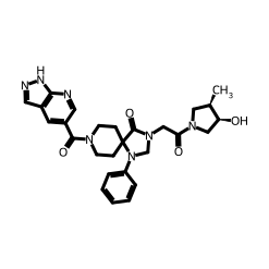 C[C@@H]1CN(C(=O)CN2CN(c3ccccc3)C3(CCN(C(=O)c4cnc5[nH]ncc5c4)CC3)C2=O)C[C@@H]1O